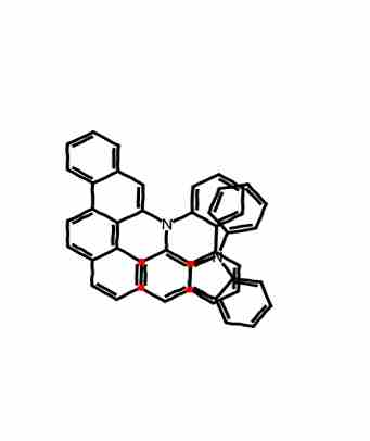 c1ccc(-c2ccccc2N(c2cc3ccccc3c3ccc4ccccc4c23)c2cccc3c4ccccc4n(-c4ccccc4)c23)cc1